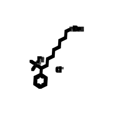 CCCCCCCCCCCCCCCCCCC(c1ccccc1)[N+](C)(C)CC.[Cl-]